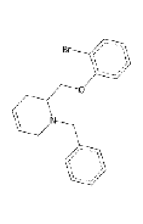 Brc1ccccc1OCC1CC=CCN1Cc1ccccc1